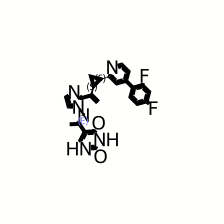 C=C(c1nccn1/N=C(\C)c1c[nH]c(=O)[nH]c1=O)[C@H]1C[C@@H]1c1cc(-c2ccc(F)cc2F)ccn1